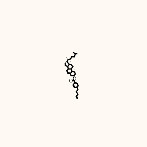 C=CCCCc1ccc(C(=O)OC2CC[C@@]3(C)C(=CCC4C3CC[C@@]3(C)C4CC[C@@H]3[C@H](C)CCCC(C)C)C2)cc1